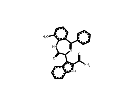 Cc1cccc2c1NC(=O)C(c1c(C(N)=O)[nH]c3ccccc13)N=C2c1ccccc1